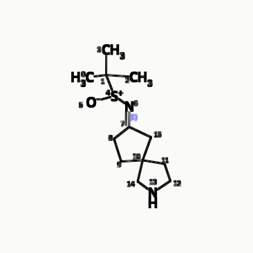 CC(C)(C)[S+]([O-])/N=C1\CCC2(CCNC2)C1